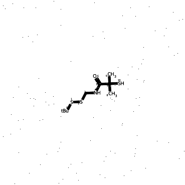 CC(C)(C)SSCNC(=O)C(C)(C)S